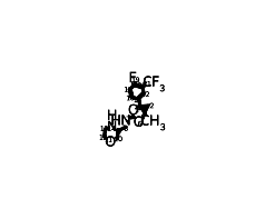 CC1C[C@]1(OC(=O)NCC1COCCN1)c1ccc(F)c(C(F)(F)F)c1